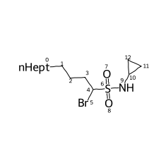 CCCCCCCCCCC(Br)S(=O)(=O)NC1CC1